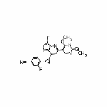 COc1ncc(-c2cc([C@H]3C[C@@H]3c3ccc(C#N)cc3F)c3ncc(F)n3n2)c(OC)n1